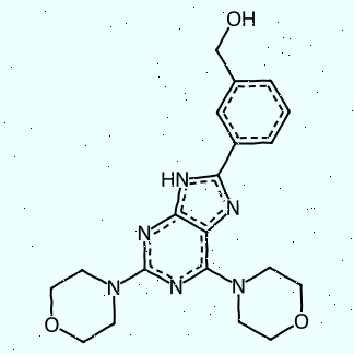 OCc1cccc(-c2nc3c(N4CCOCC4)nc(N4CCOCC4)nc3[nH]2)c1